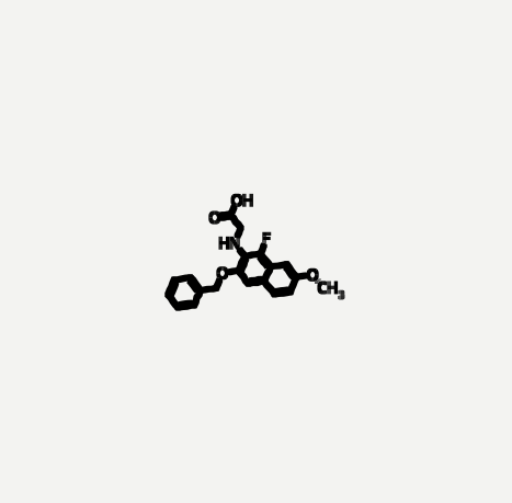 COc1ccc2cc(OCc3ccccc3)c(NCC(=O)O)c(F)c2c1